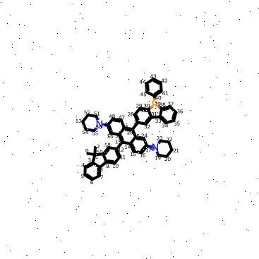 CC1(C)c2ccccc2-c2ccc(-c3c4ccc(N5CCCCC5)cc4c(-c4ccc5c(c4)c4ccccc4p5-c4ccccc4)c4ccc(N5CCCCC5)cc34)cc21